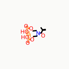 C=C(C)C(=O)N(CCO[PH](=O)O)CCO[PH](=O)O